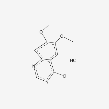 COc1cc2ncnc(Cl)c2cc1OC.Cl